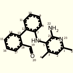 Cc1cc(C)c(Nc2ccccc2-c2ccccc2C=O)c(N)n1